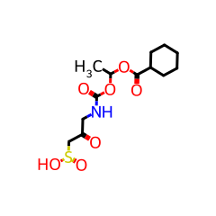 CC(OC(=O)NCC(=O)CS(=O)O)OC(=O)C1CCCCC1